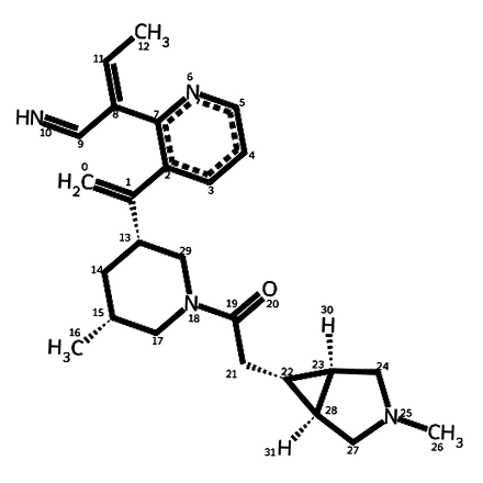 C=C(c1cccnc1/C(C=N)=C\C)[C@H]1C[C@@H](C)CN(C(=O)C[C@@H]2[C@H]3CN(C)C[C@@H]23)C1